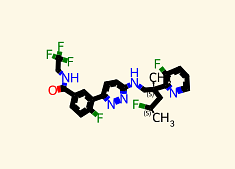 C[C@H](F)C[C@@](C)(CNc1ccc(-c2cc(C(=O)NCC(F)(F)F)ccc2F)nn1)c1ncccc1F